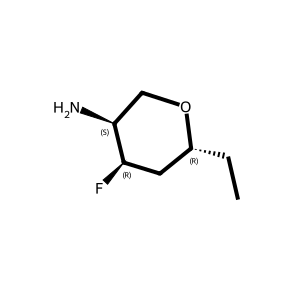 CC[C@@H]1C[C@@H](F)[C@@H](N)CO1